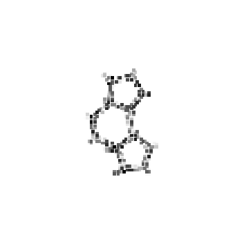 c1cc2c3ccoc3ccn2n1